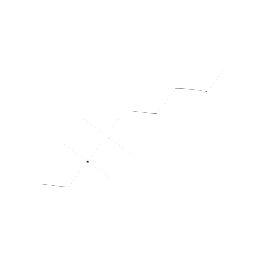 CCCCO[Si](C)(C)C(C)(C)CCl